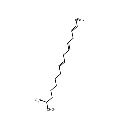 CCCCC/C=C/C/C=C/C/C=C/CCCCCC([C]=O)[N+](=O)[O-]